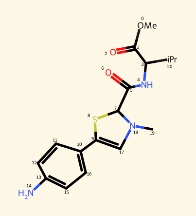 COC(=O)C(NC(=O)C1SC(c2ccc(N)cc2)=CN1C)C(C)C